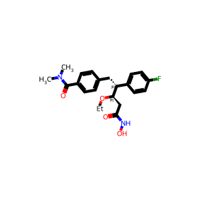 CCO[C@H](CC(=O)NO)[C@H](Cc1ccc(C(=O)N(C)C)cc1)c1ccc(F)cc1